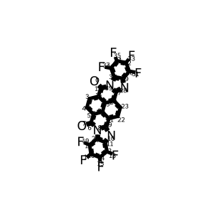 O=c1c2ccc3c(=O)n4c(nc5c(F)c(F)c(F)c(F)c54)c4ccc(c2c34)c2nc3c(F)c(F)c(F)c(F)c3n12